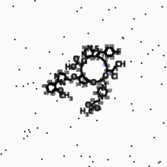 C#C/C(Cl)=C1\C=C/Cc2c(-c3ccc(F)cc3)sc3ncnc(c23)O[C@@H](C(=O)O)Cc2cc(ccc2OCc2ccnc(-c3ccccc3OC)n2)OC[C@@H](CN2CCN(CCS(C)(=O)=O)CC2)O1